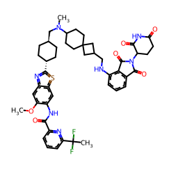 COc1cc2nc([C@H]3CC[C@H](CN(C)C4CCC5(CC4)CC(CNc4cccc6c4C(=O)N(C4CCC(=O)NC4=O)C6=O)C5)CC3)sc2cc1NC(=O)c1cccc(C(C)(F)F)n1